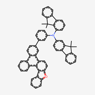 CC1(C)c2ccccc2-c2ccc(N(c3cccc(-c4ccc5c6ccccc6c6c(ccc7oc8ccccc8c76)c5c4)c3)c3cccc4c3C(C)(C)c3ccccc3-4)cc21